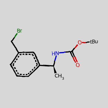 C[C@H](NC(=O)OC(C)(C)C)c1cccc(CBr)c1